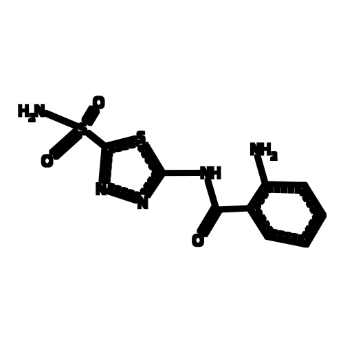 Nc1ccccc1C(=O)Nc1nnc(S(N)(=O)=O)s1